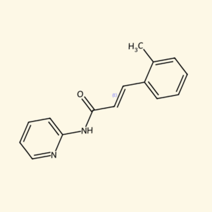 Cc1ccccc1/C=C/C(=O)Nc1ccccn1